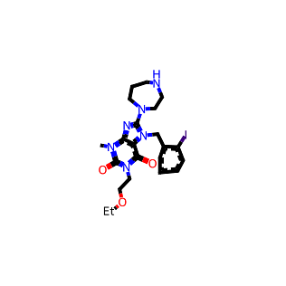 CCOCCn1c(=O)c2c(nc(N3CCCNCC3)n2Cc2ccccc2I)n(C)c1=O